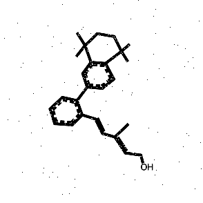 CC(/C=C/c1ccccc1-c1ccc2c(c1)C(C)(C)CCC2(C)C)=C\CO